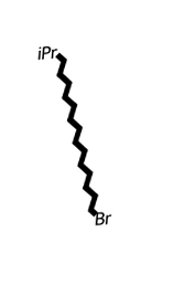 CC(C)CCCCCCCCCCCCCCBr